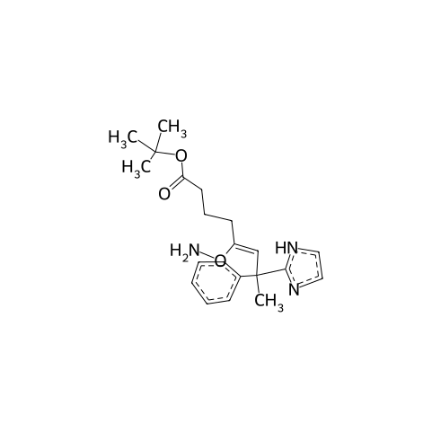 CC(C)(C)OC(=O)CCCC(=CC(C)(c1ccccc1)c1ncc[nH]1)ON